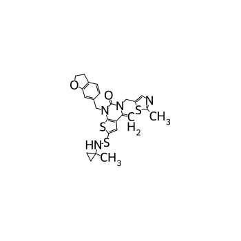 C=C1c2cc(SNC3(C)CC3)sc2N(Cc2ccc3c(c2)OCC3)C(=O)N1Cc1cnc(C)s1